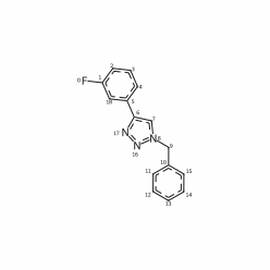 Fc1cccc(-c2cn(Cc3ccccc3)nn2)c1